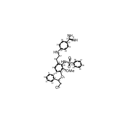 COc1c(OC(CCl)c2ccccc2)ccc(CCNc2ccc(C(=N)N)cc2)c1NS(=O)(=O)c1ccccc1